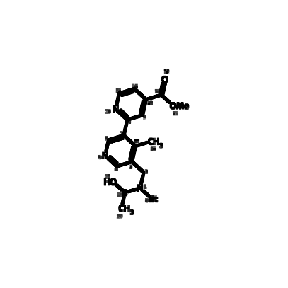 CCN(Cc1cncc(-c2cc(C(=O)OC)ccn2)c1C)B(C)O